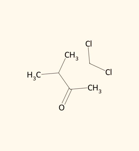 CC(=O)C(C)C.ClCCl